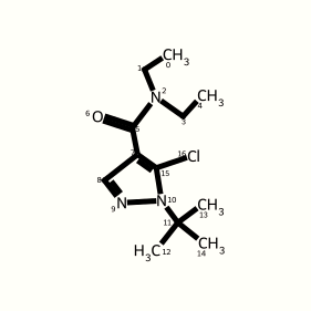 CCN(CC)C(=O)c1cnn(C(C)(C)C)c1Cl